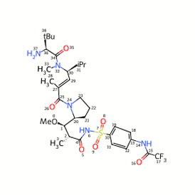 CO[C@H]([C@@H](C)C(=O)NS(=O)(=O)c1ccc(NC(=O)C(F)(F)F)cc1)[C@@H]1CCCN1C(=O)/C(C)=C/[C@H](C(C)C)N(C)C(=O)[C@@H](N)C(C)(C)C